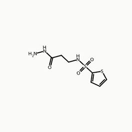 NNC(=O)CCNS(=O)(=O)c1cccs1